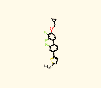 Cc1ccc(-c2ccc(-c3ccc(OCC4CC4)c(F)c3F)c(F)c2)s1